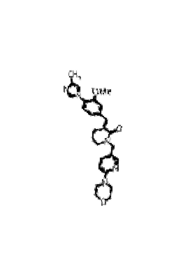 COc1cc(C=C2CCCN(Cc3ccc(N4CCOCC4)nc3)C2=O)ccc1-n1cnc(C)c1